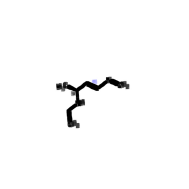 C=CN[C@@H](C)/C=C/N=C